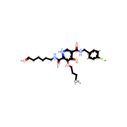 CCCCOc1c(C(=O)NCCCCCC=O)[nH]cc(C(=O)NCc2ccc(F)cc2)c1=O